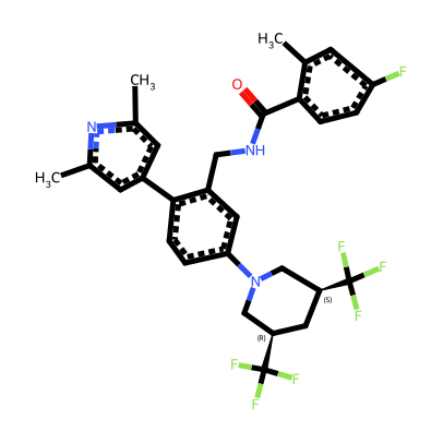 Cc1cc(-c2ccc(N3C[C@H](C(F)(F)F)C[C@H](C(F)(F)F)C3)cc2CNC(=O)c2ccc(F)cc2C)cc(C)n1